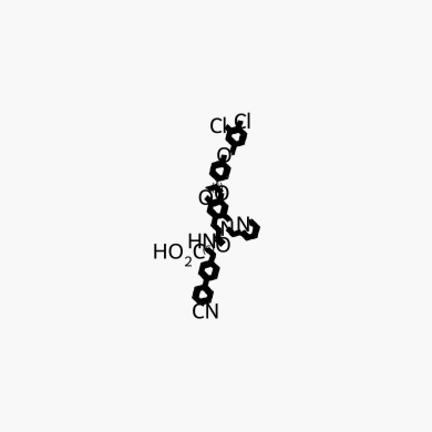 N#Cc1ccc(-c2ccc(C[C@H](NC(=O)C3Cc4cc5c(cc4CN3Cc3ccccn3)O[C@@H](c3ccc(OCc4ccc(Cl)c(Cl)c4)cc3)CO5)C(=O)O)cc2)cc1